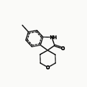 Cc1ccc2c(c1)NC(=O)C21CCOCC1